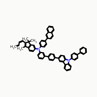 C=C/C=C\C1=C(C)c2ccc(N(c3ccc(-c4ccc5ccccc5c4)cc3)c3cccc(-c4ccc(-c5ccc6c(c5)c5ccccc5n6-c5ccc(-c6ccccc6)cc5)cc4)c3)cc2C1(C)C